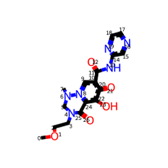 COCCN1CN(C)n2cc(C(=O)Nc3cnccn3)c(=O)c(O)c2C1=O